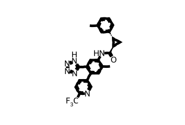 Cc1cccc([C@@H]2C[C@H]2C(=O)Nc2cc(-c3nnn[nH]3)c(-c3ccc(C(F)(F)F)nc3)cc2C)c1